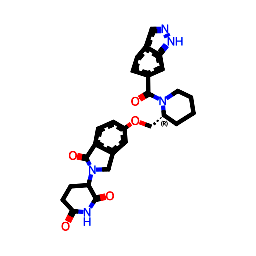 O=C1CCC(N2Cc3cc(OC[C@H]4CCCCN4C(=O)c4ccc5cn[nH]c5c4)ccc3C2=O)C(=O)N1